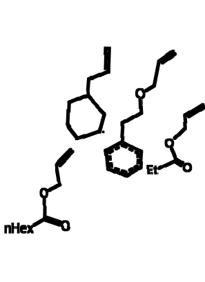 C=CCC1C[CH]CCC1.C=CCOC(=O)CC.C=CCOC(=O)CCCCCC.C=CCOCCc1ccccc1